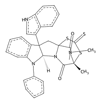 CN1C(=O)C23CC4(c5c[nH]c6ccccc56)c5ccccc5N(c5ccccc5)[C@@H]4N2C(=O)[C@@]1(C)SC(=S)S3